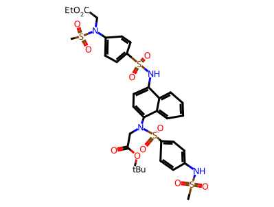 CCOC(=O)CN(c1ccc(S(=O)(=O)Nc2ccc(N(CC(=O)OC(C)(C)C)S(=O)(=O)c3ccc(NS(C)(=O)=O)cc3)c3ccccc23)cc1)S(C)(=O)=O